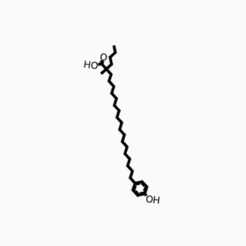 CCCCC(C)(CCCCCCCCCCCCCCCCCCc1ccc(O)cc1)C(=O)O